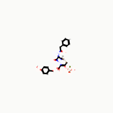 COc1ccc(COC(=O)C2=C(OS(=O)(=O)F)CS[C@H]3C(NC(=O)Cc4ccccc4)C(=O)N23)cc1